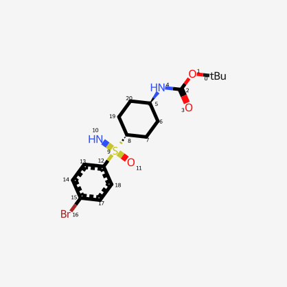 CC(C)(C)OC(=O)N[C@H]1CC[C@H](S(=N)(=O)c2ccc(Br)cc2)CC1